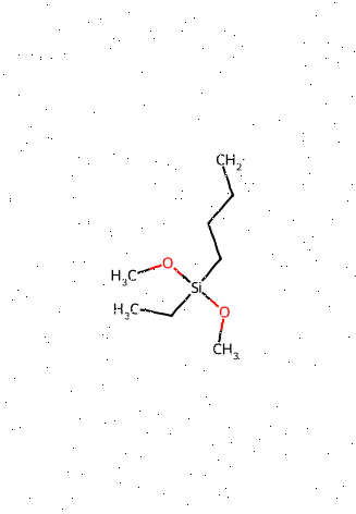 [CH2]CCC[Si](CC)(OC)OC